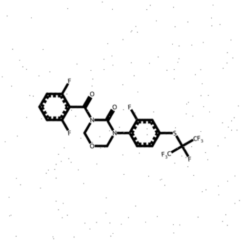 O=C(c1c(F)cccc1F)N1COCN(c2ccc(SC(F)(C(F)(F)F)C(F)(F)F)cc2F)C1=O